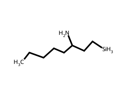 CCCCCC(N)CC[SiH3]